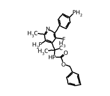 Cc1nc(-c2ccc(P)cc2)c(F)c(C(C)(C)PC(=O)OCc2ccccc2)c1P